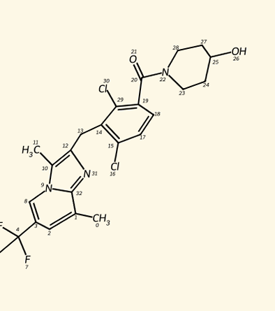 Cc1cc(C(F)(F)F)cn2c(C)c(Cc3c(Cl)ccc(C(=O)N4CCC(O)CC4)c3Cl)nc12